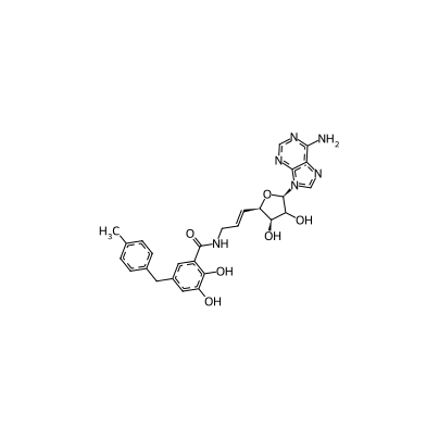 Cc1ccc(Cc2cc(O)c(O)c(C(=O)NC/C=C/[C@H]3O[C@@H](n4cnc5c(N)ncnc54)C(O)[C@H]3O)c2)cc1